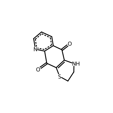 O=C1C2=C(SCCN2)C(=O)c2ncccc21